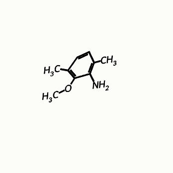 COc1c(C)ccc(C)c1N